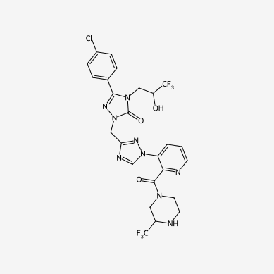 O=C(c1ncccc1-n1cnc(Cn2nc(-c3ccc(Cl)cc3)n(CC(O)C(F)(F)F)c2=O)n1)N1CCNC(C(F)(F)F)C1